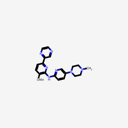 COc1ccc(-c2cnccn2)nc1Nc1ccc(N2CCN(C)CC2)cn1